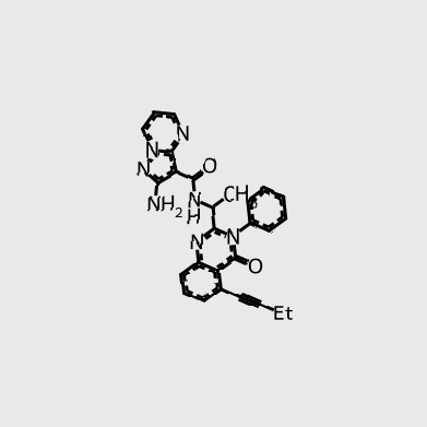 CCC#Cc1cccc2nc(C(C)NC(=O)c3c(N)nn4cccnc34)n(-c3ccccc3)c(=O)c12